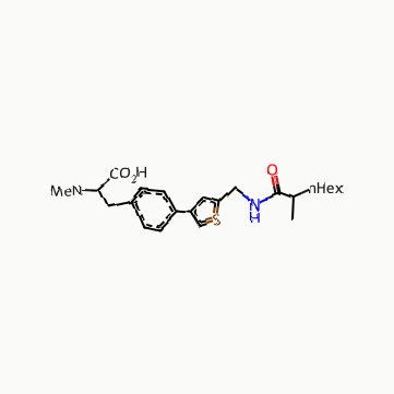 CCCCCCC(C)C(=O)NCc1cc(-c2ccc(CC(NC)C(=O)O)cc2)cs1